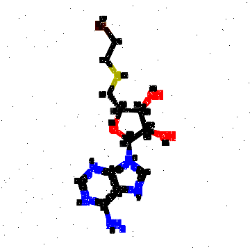 Nc1ncnc2c1ncn2[C@@H]1O[C@H](CSCCBr)[C@@H](O)[C@H]1O